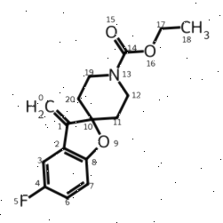 C=C1c2cc(F)ccc2OC12CCN(C(=O)OCC)CC2